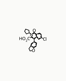 O=C(O)c1c(-c2ccc3c(c2)CCO3)c2cc(Cl)ccc2c(=O)n1C1CCCC1